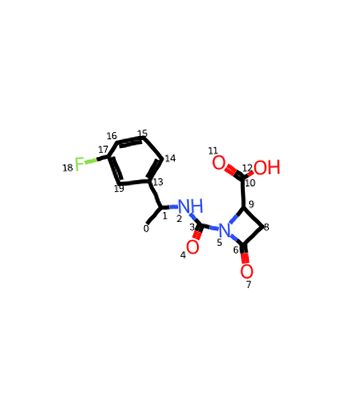 CC(NC(=O)N1C(=O)CC1C(=O)O)c1cccc(F)c1